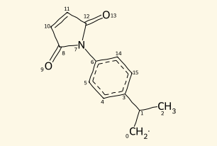 [CH2]C(C)c1ccc(N2C(=O)C=CC2=O)cc1